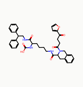 O=C(O)NC(CCCCNC(=O)C1Cc2ccccc2CN1C(=O)CCC(=O)c1ccco1)C(=O)NCC(c1ccccc1)c1ccccc1